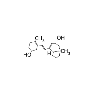 CC1=C(/C=C/C2=C[C@H](O)C[C@]3(C)CCC[C@@H]23)C[C@@H](O)CC1